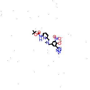 COc1c(-c2ncn(C)n2)cc(CN(C)Cc2cccc(NC(=O)OC(C)(C)C)n2)cc1[N+](=O)[O-]